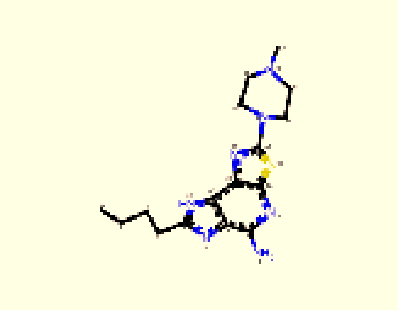 CCCCc1nc2c(N)nc3sc(N4CCN(C)CC4)nc3c2[nH]1